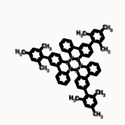 Cc1cc(C)c(-c2ccc3c(c2)-c2ccccc2N2B3N3B(c4ccc(-c5c(C)cc(C)cc5C)cc4-c4ccccc43)N3B2c2ccc(-c4c(C)cc(C)cc4C)cc2-c2ccccc23)c(C)c1